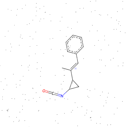 C/C(=C\c1ccccc1)C1CC1N=C=O